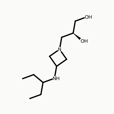 CCC(CC)NC1CN(C[C@H](O)CO)C1